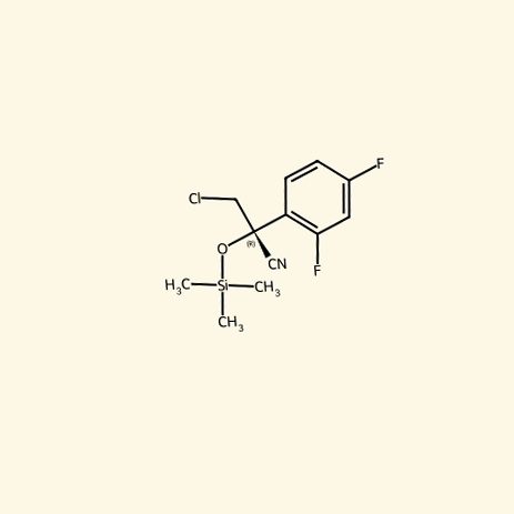 C[Si](C)(C)O[C@](C#N)(CCl)c1ccc(F)cc1F